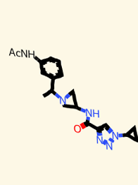 CC(=O)Nc1cccc(C(C)N2CC(NC(=O)c3cn(C4CC4)nn3)C2)c1